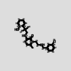 Cc1cnc(NCC(F)(F)c2cccc[n+]2O)c(=O)n1CCNCc1cccc(Cl)c1